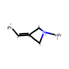 CCCN1CC(=CC(C)C)C1